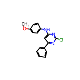 COc1ccc(Nc2cc(-c3ccccc3)nc(Cl)n2)cc1